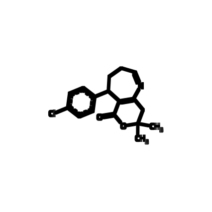 CC1(C)CC2=C(C(=O)O1)C(c1ccc(Cl)cc1)CCC=N2